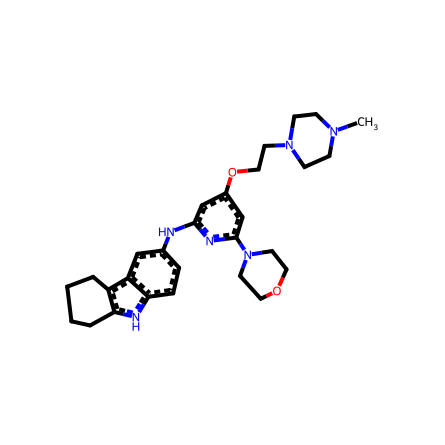 CN1CCN(CCOc2cc(Nc3ccc4[nH]c5c(c4c3)CCCC5)nc(N3CCOCC3)c2)CC1